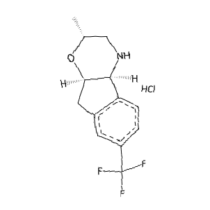 C[C@@H]1CN[C@H]2c3ccc(C(F)(F)F)cc3C[C@H]2O1.Cl